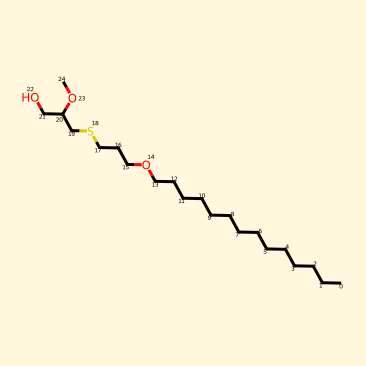 CCCCCCCCCCCCCCOCCCSCC(CO)OC